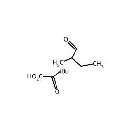 CCC(C)C(=O)C(=O)O.CCC(C)C=O